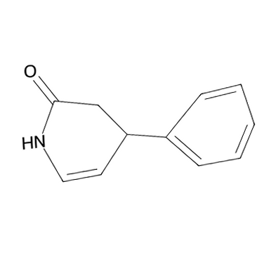 O=C1CC(c2ccccc2)C=CN1